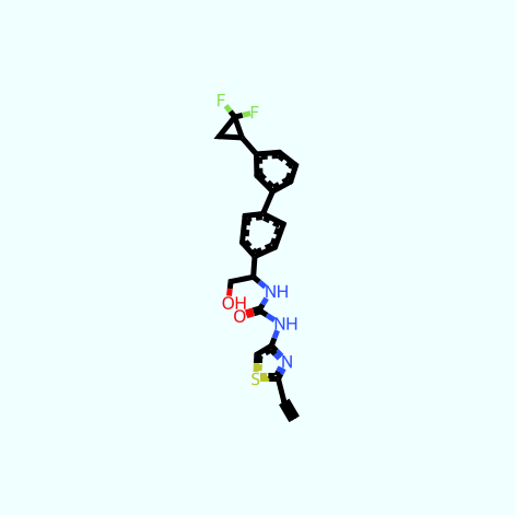 C#Cc1nc(NC(=O)NC(CO)c2ccc(-c3cccc(C4CC4(F)F)c3)cc2)cs1